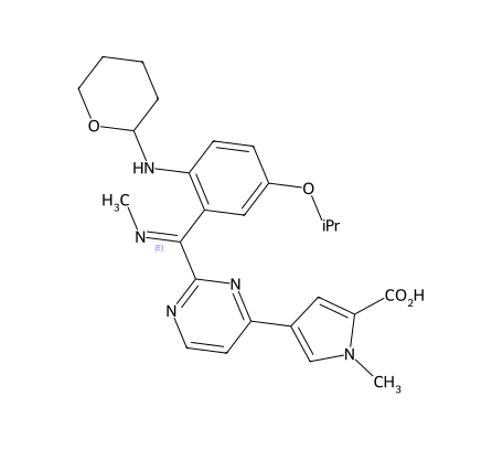 C/N=C(/c1nccc(-c2cc(C(=O)O)n(C)c2)n1)c1cc(OC(C)C)ccc1NC1CCCCO1